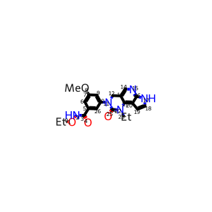 CCONC(=O)c1cc(OC)cc(N2Cc3cnc4[nH]ccc4c3N(CC)C2=O)c1